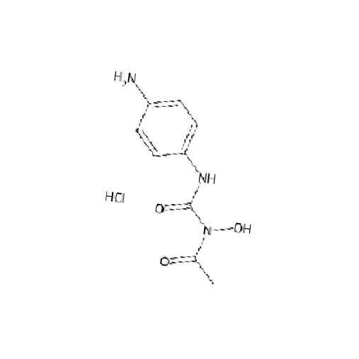 CC(=O)N(O)C(=O)Nc1ccc(N)cc1.Cl